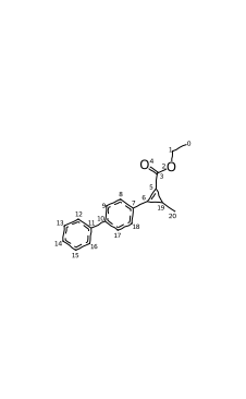 CCOC(=O)C1=C(c2ccc(-c3ccccc3)cc2)C1C